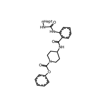 CCCCCCCNC(=O)Nc1ccccc1C(=O)NC1CCN(C(=O)Oc2ccccc2)CC1